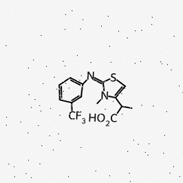 CC(C(=O)O)c1csc(=Nc2cccc(C(F)(F)F)c2)n1C